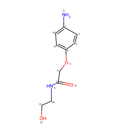 Nc1ccc(OCC(=O)NCCO)cc1